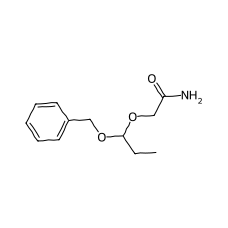 CCC(OCC(N)=O)OCc1ccccc1